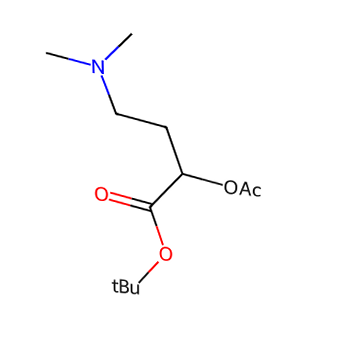 CC(=O)OC(CCN(C)C)C(=O)OC(C)(C)C